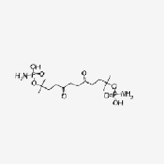 CC(C)(CCC(=O)CCC(=O)CCC(C)(C)OP(N)(=O)O)OP(N)(=O)O